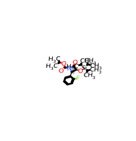 CC(C)OC(=O)N1C(=O)[C@@H](O[Si](C(C)C)(C(C)C)C(C)C)[C@H]1c1ccccc1F